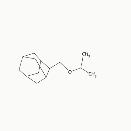 CC(C)OCC1C2CC3CC(C2)CC1C3